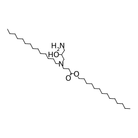 CCCCCCCCCCCCCCOC(=O)CCN(CCCCCCCCCCCCCC)CC(O)CN